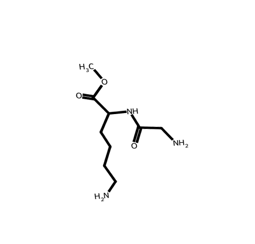 COC(=O)C(CCCCN)NC(=O)CN